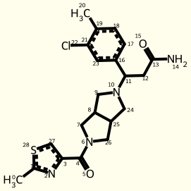 Cc1nc(C(=O)N2CC3CN(C(CC(N)=O)c4ccc(C)c(Cl)c4)CC3C2)cs1